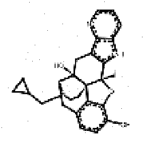 Oc1ccc2c3c1O[C@H]1c4[nH]c5cccnc5c4C[C@@]4(O)C(C2)N(CC2CC2)CC[C@]314